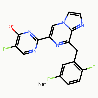 [Na+].[O-]c1nc(-c2cn3ccnc3c(Cc3cc(F)ccc3F)n2)ncc1F